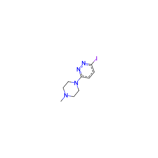 CN1CCN(c2ccc(I)nn2)CC1